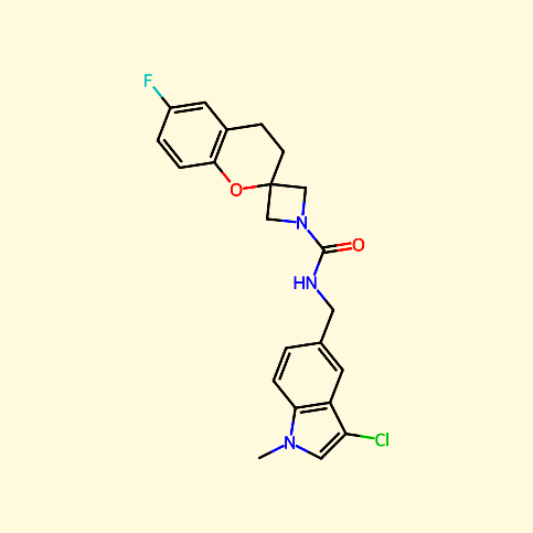 Cn1cc(Cl)c2cc(CNC(=O)N3CC4(CCc5cc(F)ccc5O4)C3)ccc21